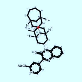 COc1cc(-c2nc3ccccc3n([C@H]3C[C@H]4CC[C@H](C)[C@@H](C3)N4[C@@H]3C[C@@H]4CCCC[C@@H](C4)C3)c2=O)ccn1